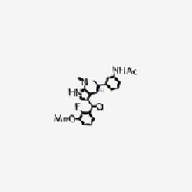 C=Nc1[nH]cc(C(=O)c2cccc(OC)c2F)c1/C=C(\C)c1cccc(NC(C)=O)c1